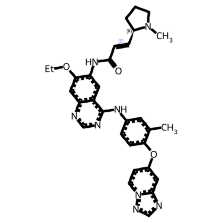 CCOc1cc2ncnc(Nc3ccc(Oc4ccn5ncnc5c4)c(C)c3)c2cc1NC(=O)/C=C/[C@H]1CCCN1C